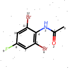 CC(=O)Nc1c(Br)cc(F)cc1Br